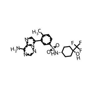 Cc1ccc(S(=O)(=O)N[C@H]2CC[C@@](O)(C(F)(F)F)CC2)cc1-c1cnc2c(N)ncnn12